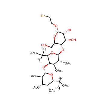 [2H]C([2H])(OC(C)=O)[C@H]1O[C@@H](O[C@@H]2[C@H](OC(C)=O)[C@@H](OC(C)=O)[C@H](O[C@H]3[C@H](O)[C@@H](O)[C@@H](OCCBr)O[C@@H]3CO)O[C@@H]2C([2H])([2H])OC(C)=O)[C@H](OC(C)=O)[C@@H](OC(C)=O)[C@H]1OC(C)=O